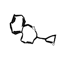 C1=CC(C2CO2)Oc2ccccc21